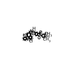 CC1CC(N2C(=O)c3ccc(Nc4ncc5c(n4)-c4ccc(Cl)cc4C(c4c(F)cccc4F)=NC5)cc3C2=O)CC(C)N1